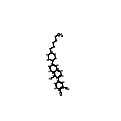 CCCCCCC1CCC(c2ccc3c(F)c(-c4ccc(Cl)c(F)c4)ccc3c2)CC1